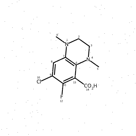 CN1CCN(C)c2c1cc(Cl)c(F)c2C(=O)O